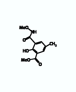 CONC(=O)c1cc(C)cc(C(=O)OC)c1O